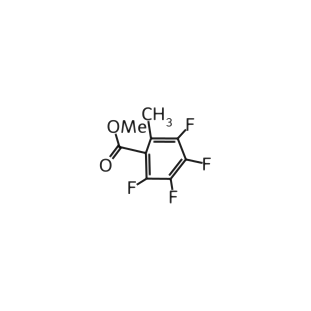 COC(=O)c1c(C)c(F)c(F)c(F)c1F